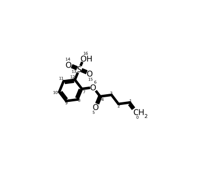 C=CCCC(=O)Oc1ccccc1S(=O)(=O)O